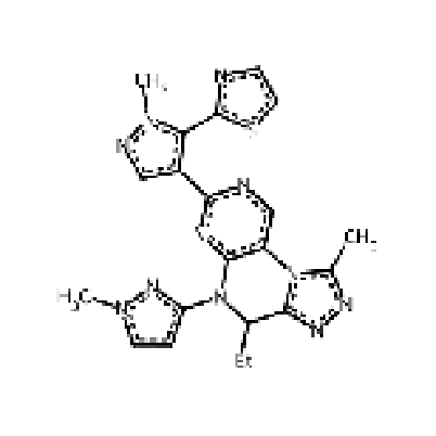 CCC1c2nnc(C)n2-c2cnc(-c3cnn(C)c3-c3nccs3)nc2N1c1ccn(C)n1